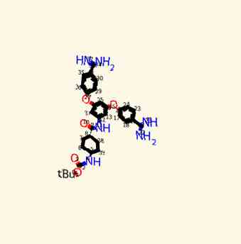 CC(C)(C)OC(=O)N[C@H]1CC[C@H](C(=O)Nc2cc(Oc3ccc(C(=N)N)cc3)cc(Oc3ccc(C(=N)N)cc3)c2)CC1